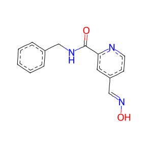 O=C(NCc1ccccc1)c1cc(/C=N/O)ccn1